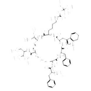 CC(O)C(CO)NC(=O)C1CCC(C(C)O)NC(=O)C(CCCCNC(=O)OC(C)(C)C)NC(=O)C(Cc2c[nH]c3c2C=CCC3)NC(=O)C(Cc2ccccc2)NC(=O)C(NC(=O)C(N)Cc2ccccc2)CSSC1